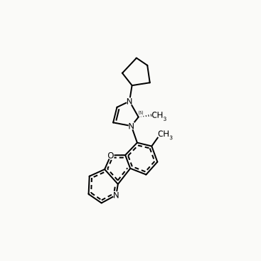 Cc1ccc2c(oc3cccnc32)c1N1C=CN(C2CCCC2)[C@@H]1C